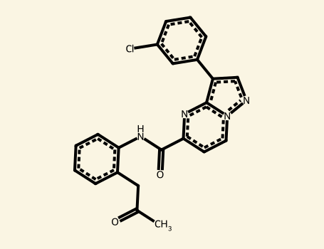 CC(=O)Cc1ccccc1NC(=O)c1ccn2ncc(-c3cccc(Cl)c3)c2n1